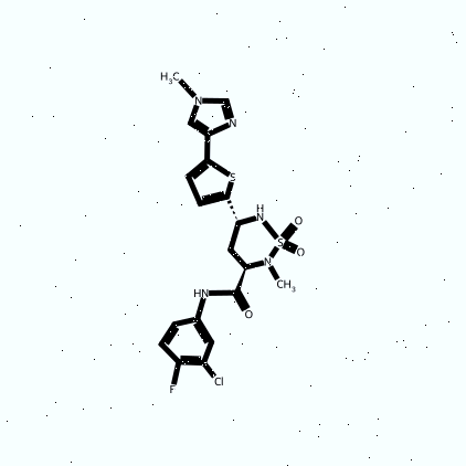 CN1[C@@H](C(=O)Nc2ccc(F)c(Cl)c2)C[C@H](c2ccc(-c3cn(C)cn3)s2)NS1(=O)=O